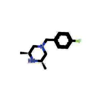 C[C@@H]1CN(Cc2ccc(F)cc2)C[C@H](C)N1